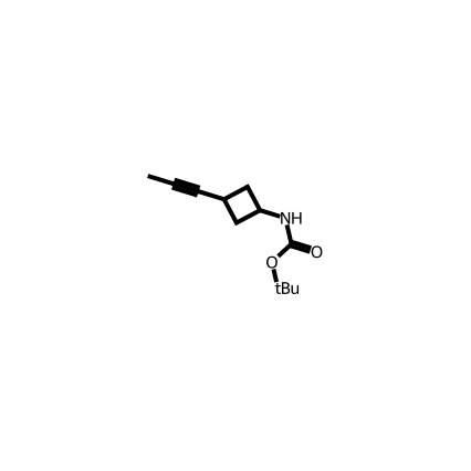 CC#CC1CC(NC(=O)OC(C)(C)C)C1